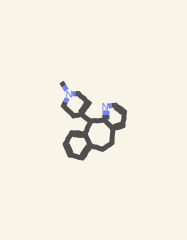 CN1CC=C(C2c3ccccc3CCc3cccnc32)CC1